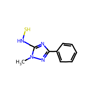 Cn1nc(-c2ccccc2)nc1NS